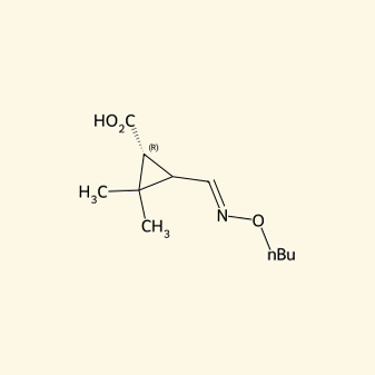 CCCCON=CC1[C@@H](C(=O)O)C1(C)C